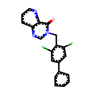 O=c1c2ncccc2ncn1Cc1c(F)cc(-c2ccccc2)cc1F